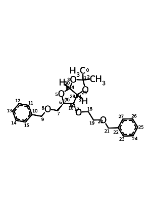 CC1(C)O[C@H]2O[C@H](COCc3ccccc3)[C@@H](OCCOCc3ccccc3)[C@H]2O1